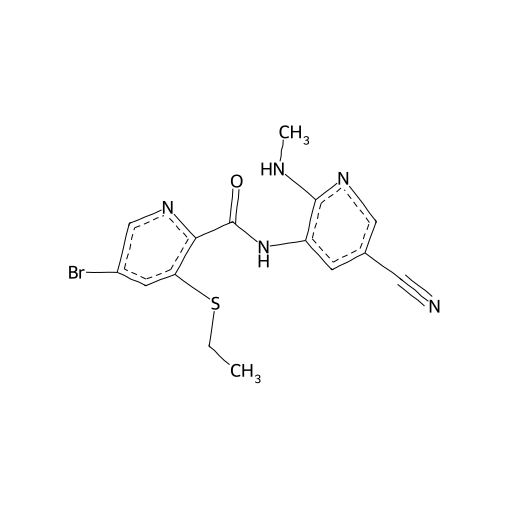 CCSc1cc(Br)cnc1C(=O)Nc1cc(C#N)cnc1NC